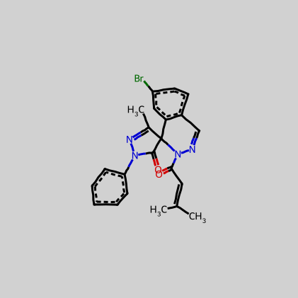 CC(C)=CC(=O)N1N=Cc2ccc(Br)cc2C12C(=O)N(c1ccccc1)N=C2C